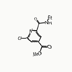 CCNC(=O)c1cc(C(=O)OC)cc(Cl)n1